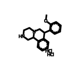 COc1ccccc1C1CN2CCNCC2c2ccccc21.Cl.Cl